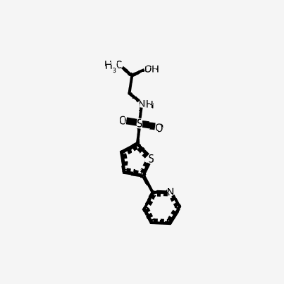 CC(O)CNS(=O)(=O)c1ccc(-c2ccccn2)s1